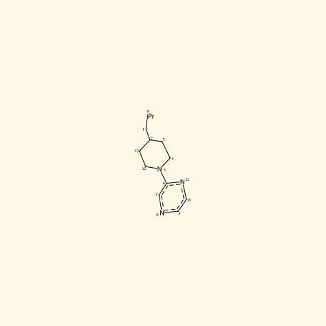 CC(C)CC1CCN(c2cnccn2)CC1